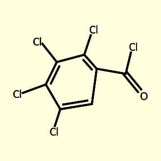 O=C(Cl)c1cc(Cl)c(Cl)c(Cl)c1Cl